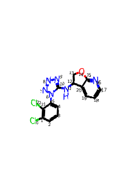 Clc1cccc(-n2nnnc2NC2COc3ncccc32)c1Cl